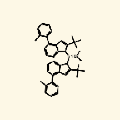 Cc1ccccc1-c1cccc2c1C=C(C(C)(C)C)[CH]2[Hf]([CH]1C(C(C)(C)C)=Cc2c(-c3ccccc3C)cccc21)[SiH](C)C